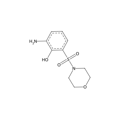 Nc1cccc(S(=O)(=O)N2CCOCC2)c1O